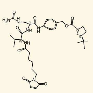 CC(C)[C@H](NC(=O)CCCCCN1C(=O)C=CC1=O)C(=O)N[C@@H](CNC(N)=O)C(=O)Nc1ccc(COC(=O)N2CC[C@@H](C(C)(C)C)C2)cc1